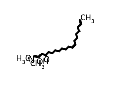 CCCCCCCC/C=C\CCCCCCCC(=O)CC(O)CN(C)C